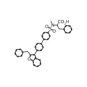 CN(C(Cc1ccccc1)C(=O)O)S(=O)(=O)c1ccc(-c2ccc(-c3c(Cc4ccccc4)oc4ccccc34)cc2)cc1